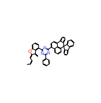 C=c1/c(=C\C=C/C)oc2cccc(-c3nc(-c4ccccc4)nc(-c4ccc5c6c(cccc46)C4(c6ccccc6-c6ccccc64)c4ccccc4-5)n3)c12